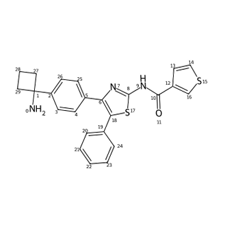 NC1(c2ccc(-c3nc(NC(=O)c4ccsc4)sc3-c3ccccc3)cc2)CCC1